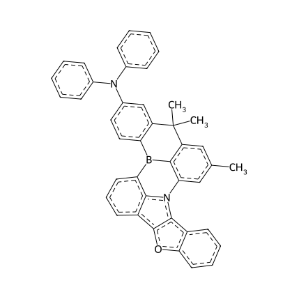 Cc1cc2c3c(c1)C(C)(C)c1cc(N(c4ccccc4)c4ccccc4)ccc1B3c1cccc3c4oc5ccccc5c4n-2c13